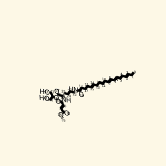 CCC=CCC=CCC=CCC=CCC=CCCCC(=O)NCCCC[C@H](NC(=O)C=CC(=O)OC)C(=O)OC(CO)CO